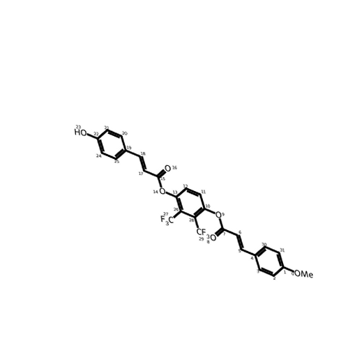 COc1ccc(/C=C/C(=O)Oc2ccc(OC(=O)/C=C/c3ccc(O)cc3)c(C(F)(F)F)c2C(F)(F)F)cc1